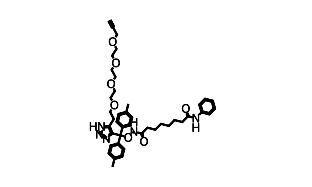 C#CCOCCOCCOCCOCCc1[nH]nnc1C(ONC(=O)CCCCCCC(=O)Nc1ccccc1)(c1ccc(C)cc1)c1ccc(C)cc1